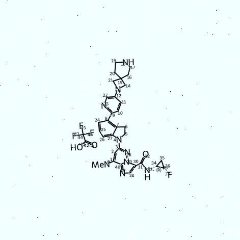 CNc1cc(N2CCc3c(-c4ccc(N5CC6(CCNCC6)C5)cn4)cccc32)nn2c(C(=O)N[C@@H]3C[C@@H]3F)cnc12.O=C(O)C(F)(F)F